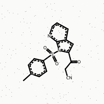 Cc1ccc(S(=O)(=O)n2c(C(=O)CC#N)cc3cccnc32)cc1